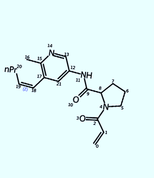 C=CC(=O)N1CCCC1C(=O)Nc1cnc(C)c(/C=C\CCC)c1